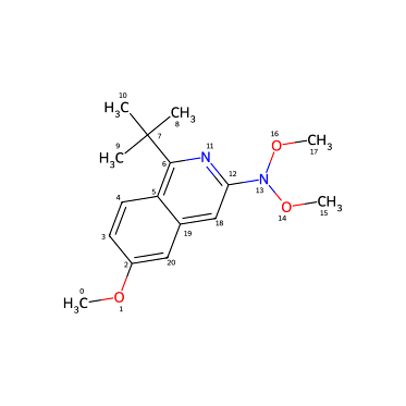 COc1ccc2c(C(C)(C)C)nc(N(OC)OC)cc2c1